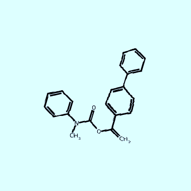 C=C(OC(=O)N(C)c1ccccc1)c1ccc(-c2ccccc2)cc1